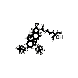 CCC(O)(CC)CCCSC(C)[C@H]1C(=O)C[C@H]2C3=CC=C4C[C@@H](O[Si](C)(C)C(C)(C)C)C[C@H](O[Si](C)(C)C(C)(C)C)[C@]4(C)[C@H]3CC[C@]12C